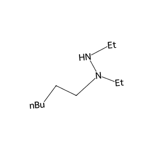 CCCCCCN(CC)NCC